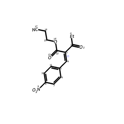 CCC(=O)/C(=C/c1ccc([N+](=O)[O-])cc1)C(=O)OCCC#N